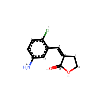 Nc1ccc(Cl)c(C=C2CCOC2=O)c1